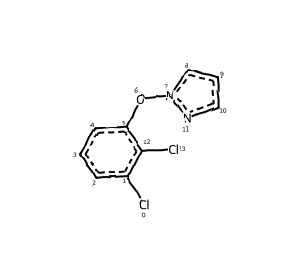 Clc1cccc(On2c[c]cn2)c1Cl